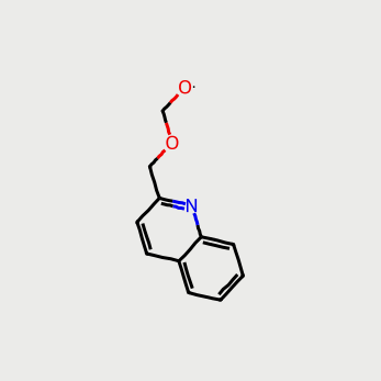 [O]COCc1ccc2ccccc2n1